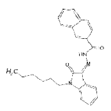 CCCCCCN1C(=O)C(=NNC(=O)c2ccc3ccccc3c2)c2ccccc21